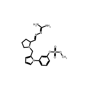 COS(=O)(=O)Oc1cccc(-n2cccc2CN2CCCC2/C=N/N=C(N)N)c1